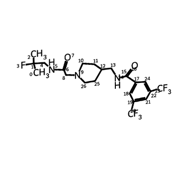 CC(C)(F)CNC(=O)CN1CCC(CNC(=O)c2cc(C(F)(F)F)cc(C(F)(F)F)c2)CC1